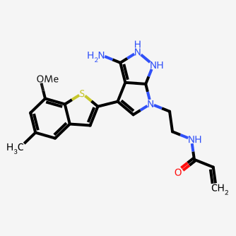 C=CC(=O)NCCN1C=C(c2cc3cc(C)cc(OC)c3s2)C2=C(N)NNC21